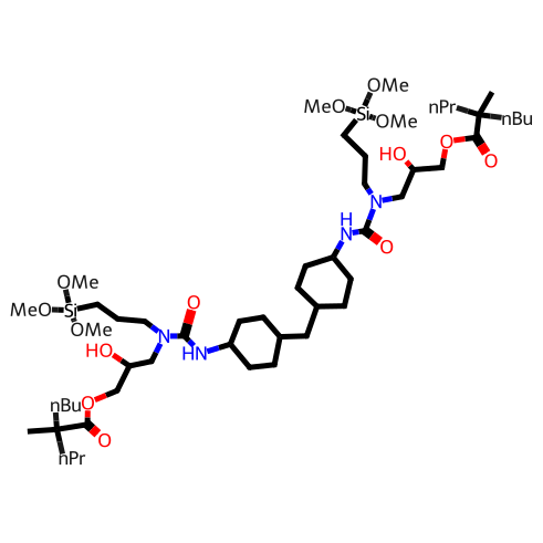 CCCCC(C)(CCC)C(=O)OCC(O)CN(CCC[Si](OC)(OC)OC)C(=O)NC1CCC(CC2CCC(NC(=O)N(CCC[Si](OC)(OC)OC)CC(O)COC(=O)C(C)(CCC)CCCC)CC2)CC1